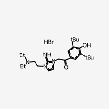 Br.CCN(CC)CCn1ccn(CC(=O)c2cc(C(C)(C)C)c(O)c(C(C)(C)C)c2)c1=N